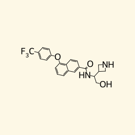 O=C(NC(CO)C1CNC1)c1ccc2c(Oc3ccc(C(F)(F)F)cc3)cccc2c1